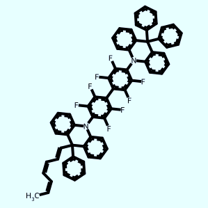 C\C=C/C=C\C=C\C1(c2ccccc2)c2ccccc2N(c2c(F)c(F)c(-c3c(F)c(F)c(N4c5ccccc5C(c5ccccc5)(c5ccccc5)c5ccccc54)c(F)c3F)c(F)c2F)c2ccccc21